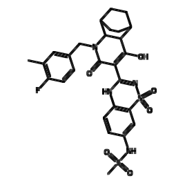 Cc1cc(CN2C(=O)C(C3=NS(=O)(=O)c4cc(NS(C)(=O)=O)ccc4N3)=C(O)C3C4CCC(CC4)C32)ccc1F